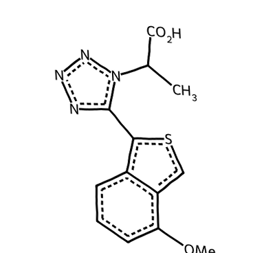 COc1cccc2c(-c3nnnn3C(C)C(=O)O)scc12